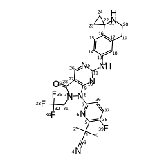 CC(C)(C#N)c1nc(-n2c3nc(Nc4ccc5c(c4)CCNC54CC4)ncc3c(=O)n2CC(F)(F)F)ccc1F